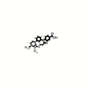 CCOCCc1nc2cc(C(=O)O)ccc2n1-c1cccc(N2CCN(C)CC2)c1